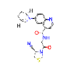 N#C[C@@H]1CSCN1C(=O)CNC(=O)c1ccnc2ccc(N3C[C@H]4CC[C@@H]3C4)cc12